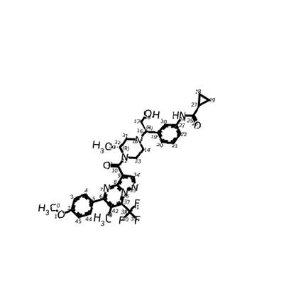 COc1ccc(-c2nc3c(C(=O)N4CCN([C@@H](CO)c5cccc(NC(=O)C6CC6)c5)C[C@H]4C)cnn3c(C(F)(F)F)c2C)cc1